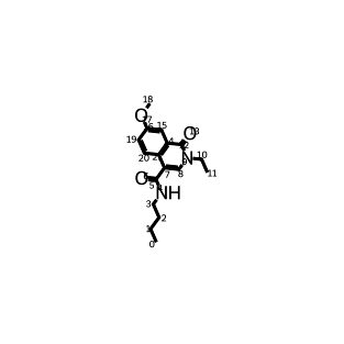 CCCCNC(=O)c1cn(CC)c(=O)c2cc(OC)ccc12